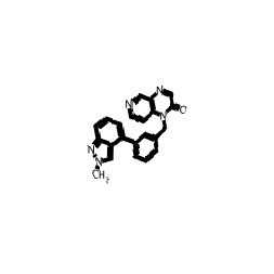 Cn1cc2c(-c3cccc(Cn4c(=O)cnc5cnccc54)c3)cccc2n1